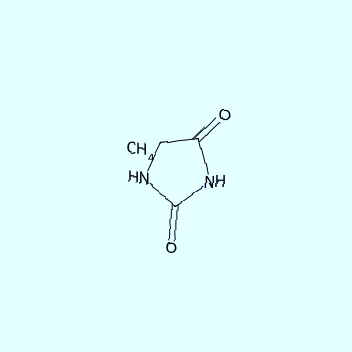 C.O=C1CNC(=O)N1